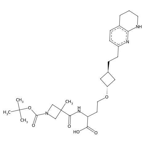 CC(C)(C)OC(=O)N1CC(C)(C(=O)NC(CCO[C@H]2C[C@H](CCc3ccc4c(n3)NCCC4)C2)C(=O)O)C1